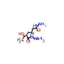 CC(O)C(CCCC(=O)NN)C(=O)NN